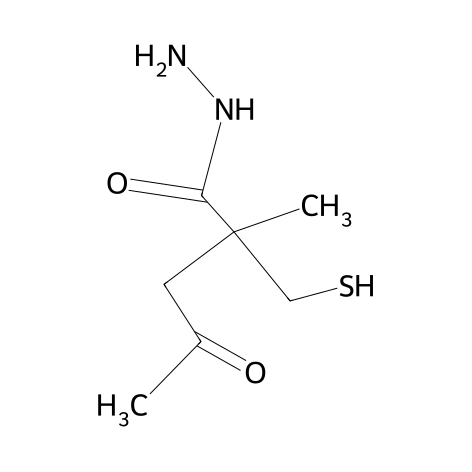 CC(=O)CC(C)(CS)C(=O)NN